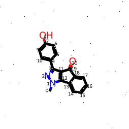 Cn1nc(-c2ccc(O)cc2)c2c1-c1ccccc1C2=O